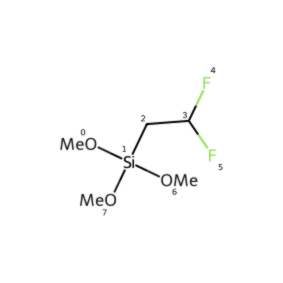 CO[Si](CC(F)F)(OC)OC